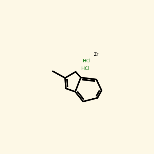 CC1=Cc2ccccc2C1.Cl.Cl.[Zr]